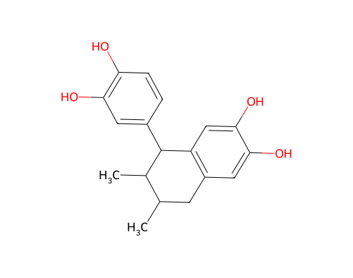 CC1Cc2cc(O)c(O)cc2C(c2ccc(O)c(O)c2)C1C